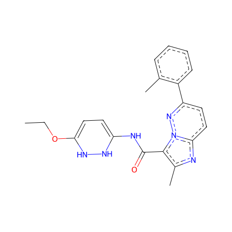 CCOC1=CC=C(NC(=O)c2c(C)nc3ccc(-c4ccccc4C)nn23)NN1